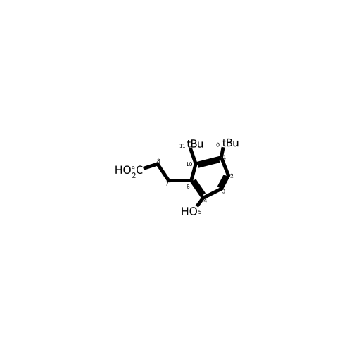 CC(C)(C)c1ccc(O)c(CCC(=O)O)c1C(C)(C)C